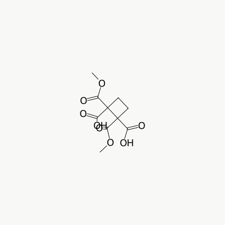 COC(=O)C1(C(=O)O)CCC1(C(=O)O)C(=O)OC